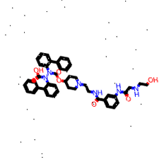 O=C(CNCCO)Nc1cccc(C(=O)NCCN2CCC(OC(=O)N(c3ccccc3-c3ccccc3)N(C(=O)O)c3ccccc3-c3ccccc3)CC2)c1